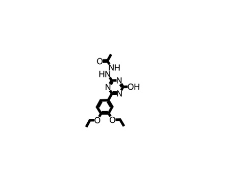 CCOc1ccc(-c2nc(O)nc(NNC(C)=O)n2)cc1OCC